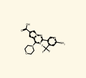 Nc1cc(C(F)(F)F)c(-c2nc(N3CCOCC3)c3cc(C(=O)O)cn3n2)cn1